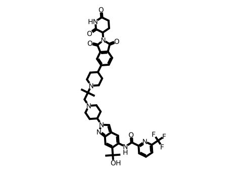 CC(C)(O)c1cc2nn(C3CCN(CC(C)(C)N4CCC(c5ccc6c(c5)C(=O)N(C5CCC(=O)NC5=O)C6=O)CC4)CC3)cc2cc1NC(=O)c1cccc(C(F)(F)F)n1